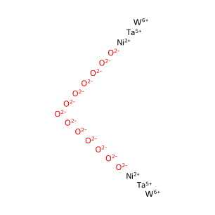 [Ni+2].[Ni+2].[O-2].[O-2].[O-2].[O-2].[O-2].[O-2].[O-2].[O-2].[O-2].[O-2].[O-2].[O-2].[O-2].[Ta+5].[Ta+5].[W+6].[W+6]